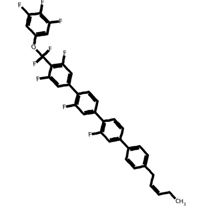 CC/C=C\Cc1ccc(-c2ccc(-c3ccc(-c4cc(F)c(C(F)(F)Oc5cc(F)c(F)c(F)c5)c(F)c4)c(F)c3)c(F)c2)cc1